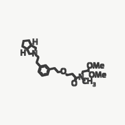 COC(CN(C)C(=O)CCOCCc1cccc(CCN2C[C@H]3CCC[C@H]3C2)c1)OC